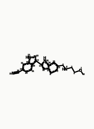 COCCNCc1ccc2cc(-c3n[nH]c4cc(C#N)ccc34)[nH]c2c1